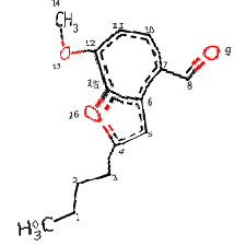 CCCCc1cc2c(C=O)ccc(OC)c2o1